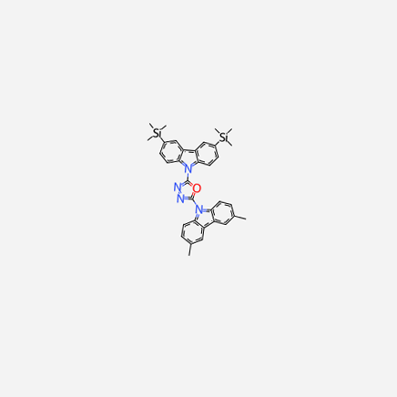 Cc1ccc2c(c1)c1cc(C)ccc1n2-c1nnc(-n2c3ccc([Si](C)(C)C)cc3c3cc([Si](C)(C)C)ccc32)o1